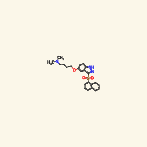 CN(C)CCCCOc1ccc2[nH]nc(S(=O)(=O)c3cccc4ccccc34)c2c1